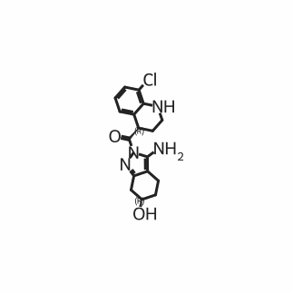 Nc1c2c(nn1C(=O)[C@@H]1CCNc3c(Cl)cccc31)C[C@H](O)CC2